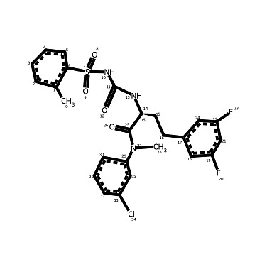 Cc1ccccc1S(=O)(=O)NC(=O)N[C@@H](CCc1cc(F)cc(F)c1)C(=O)N(C)c1cccc(Cl)c1